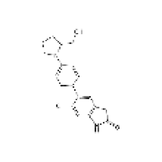 O=C1Cc2cc(-c3ccc(N4CCCC4CO)cc3)c(Cl)cc2N1